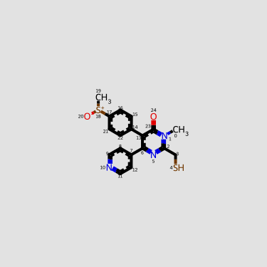 Cn1c(CS)nc(-c2ccncc2)c(-c2ccc([S+](C)[O-])cc2)c1=O